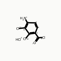 Cl.Nc1ccc(C(=O)Cl)c(Cl)c1Cl